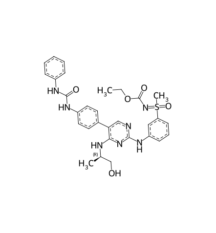 CCOC(=O)N=S(C)(=O)c1cccc(Nc2ncc(-c3ccc(NC(=O)Nc4ccccc4)cc3)c(N[C@H](C)CO)n2)c1